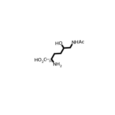 CC(=O)NCC(O)CC[C@H](N)C(=O)O